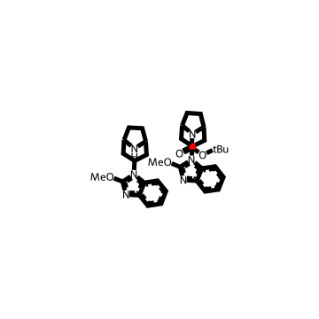 COc1nc2ccccc2n1C1CC2CCC(C1)N2.COc1nc2ccccc2n1C1CC2CCC(C1)N2C(=O)OC(C)(C)C